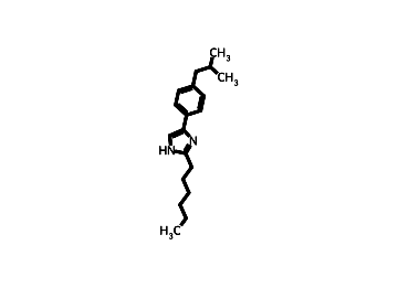 CCCCCCc1nc(-c2ccc(CC(C)C)cc2)c[nH]1